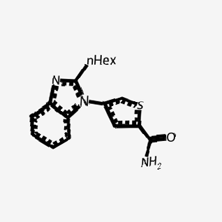 CCCCCCc1nc2ccccc2n1-c1csc(C(N)=O)c1